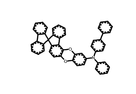 c1ccc(-c2ccc(N(c3ccccc3)c3ccc4c(c3)Oc3c(ccc5c3-c3ccccc3C53c5ccccc5-c5ccccc53)O4)cc2)cc1